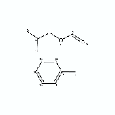 CC(C)COC=O.Cc1ccccc1